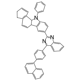 C1=CC2=C(C=CC3c4cc(-c5nc(-c6ccc(-c7cccc8ccccc78)cc6)c6ccccc6n5)ccc4N(c4ccccc4)C23)CC1